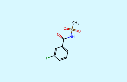 CS(=O)(=O)NC(=O)c1cccc(F)c1